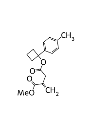 C=C(CC(=O)OC1(c2ccc(C)cc2)CCC1)C(=O)OC